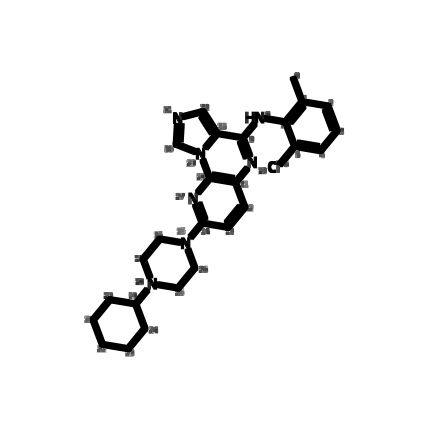 Cc1cccc(Cl)c1Nc1nc2ccc(N3CCN(C4CCCCC4)CC3)nc2n2cncc12